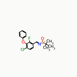 CC(C)(C)[S@+]([O-])/N=C/c1ccc(Cl)c(Oc2ccccc2)c1F